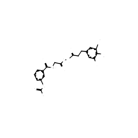 N=C(N)Nc1cccc(C(=O)NCC(=O)NOC(=O)CCc2cc(Cl)c(O)c(Cl)c2)c1